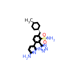 C[C@H]1CC[C@H](Cc2ccc(-c3ccc(N)nc3)c(-c3nnn[nH]3)c2S(N)(=O)=O)CC1